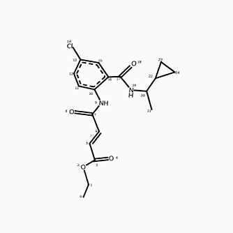 CCOC(=O)/C=C/C(=O)Nc1ccc(Cl)cc1C(=O)NC(C)C1CC1